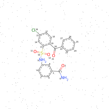 NC(=O)c1ccccc1.NS(=O)(=O)c1cc(Cl)ccc1C(=O)c1ccccc1